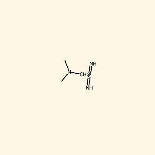 CN(C)C=O.N=C=N